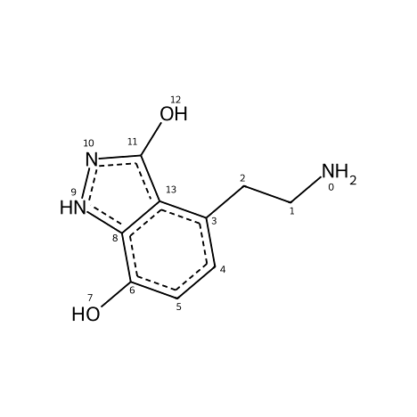 NCCc1ccc(O)c2[nH]nc(O)c12